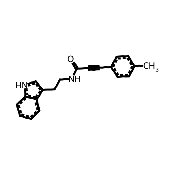 Cc1ccc(C#CC(=O)NCCc2c[nH]c3ccccc23)cc1